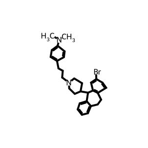 CN(C)c1ccc(CCCN2CCC(C3c4ccccc4CCc4ccc(Br)cc43)CC2)cc1